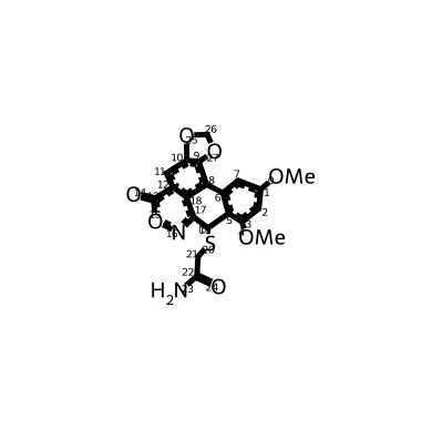 COc1cc(OC)c2c(c1)-c1c3c(cc4c(=O)onc(c14)[C@H]2SCC(N)=O)OCO3